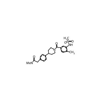 CNC(=O)Cc1ccc(C2CCN(C(=O)c3ccc(C)c(NS(C)(=O)=O)c3)CC2)cc1